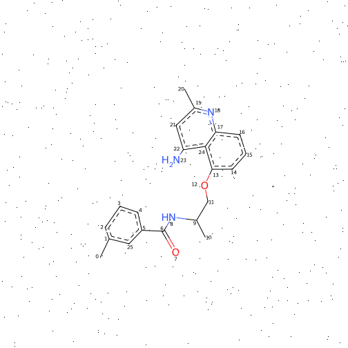 Cc1cccc(C(=O)NC(C)COc2cccc3nc(C)cc(N)c23)c1